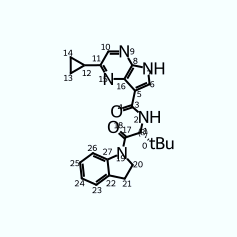 CC(C)(C)[C@@H](NC(=O)c1c[nH]c2ncc(C3CC3)nc12)C(=O)N1CCc2ccccc21